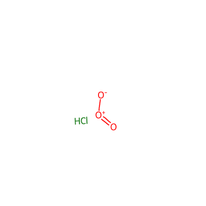 Cl.O=[O+][O-]